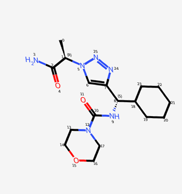 C[C@H](C(N)=O)n1cc([C@@H](NC(=O)N2CCOCC2)C2CCCCC2)nn1